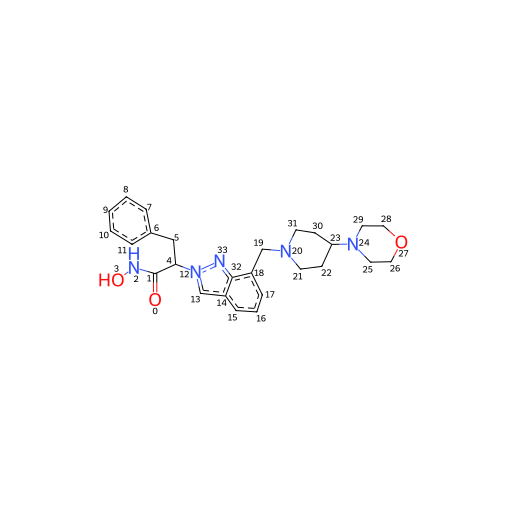 O=C(NO)C(Cc1ccccc1)n1cc2cccc(CN3CCC(N4CCOCC4)CC3)c2n1